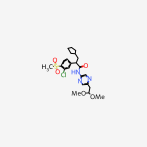 COC(Cc1cnc(NC(=O)C(CC2CCCC2)c2ccc(S(C)(=O)=O)c(Cl)c2)cn1)OC